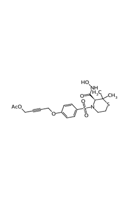 CC(=O)OCC#CCOc1ccc(S(=O)(=O)N2CCSC(C)(C)[C@@H]2C(=O)NO)cc1